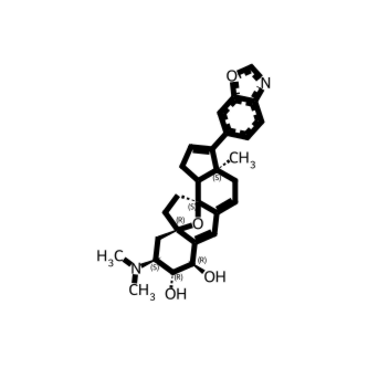 CN(C)[C@H]1C[C@@]23CC[C@@]4(O2)C(=CC[C@]2(C)C(c5ccc6ncoc6c5)=CCC24)C=C3[C@@H](O)[C@@H]1O